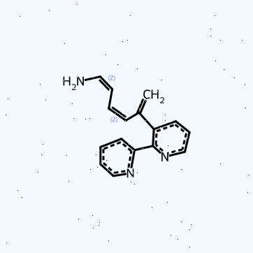 C=C(/C=C\C=C/N)c1cccnc1-c1ccccn1